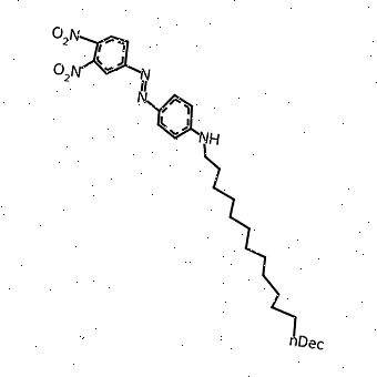 CCCCCCCCCCCCCCCCCCCCCCNc1ccc(N=Nc2ccc([N+](=O)[O-])c([N+](=O)[O-])c2)cc1